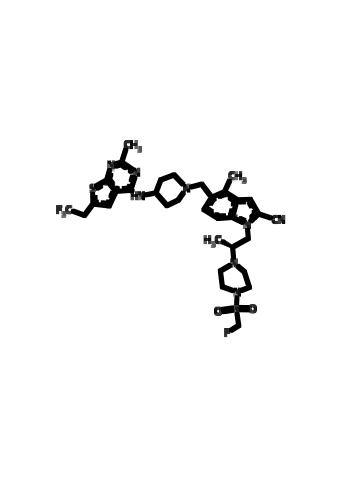 Cc1nc(NC2CCN(Cc3ccc4c(cc(C#N)n4C[C@H](C)N4CCN(S(=O)(=O)CF)CC4)c3C)CC2)c2cc(CC(F)(F)F)sc2n1